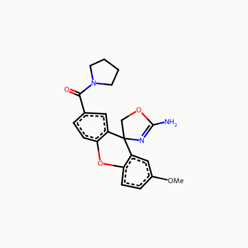 COc1ccc2c(c1)C1(COC(N)=N1)c1cc(C(=O)N3CCCC3)ccc1O2